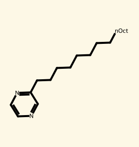 CCCCCCCCCCCCCCCCc1cnccn1